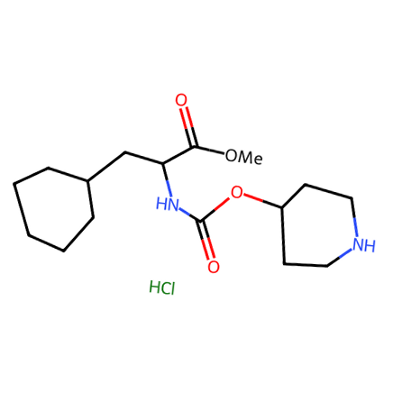 COC(=O)C(CC1CCCCC1)NC(=O)OC1CCNCC1.Cl